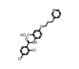 O=C(Nc1ccc(OCCCc2cccnc2)cc1C(=O)O)c1ccc(Cl)cc1Cl